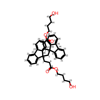 O=C(CCC1(CC2(CCC(=O)OCCCCO)c3ccccc3-c3ccccc32)c2ccccc2-c2ccccc21)OCCCCO